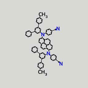 Cc1ccc(-c2cc(-c3ccccc3)cc(N(c3ccc(C#N)cc3)c3ccc4ccc5c(N(c6ccc(C#N)cc6)c6cc(-c7ccccc7)cc(-c7ccc(C)cc7)c6)ccc6ccc3c4c65)c2)cc1